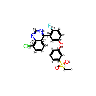 CCS(=O)(=O)c1cccc(Oc2ccc(F)c(-c3ncnc4c(Cl)cccc34)c2)c1